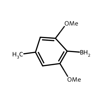 Bc1c(OC)cc(C)cc1OC